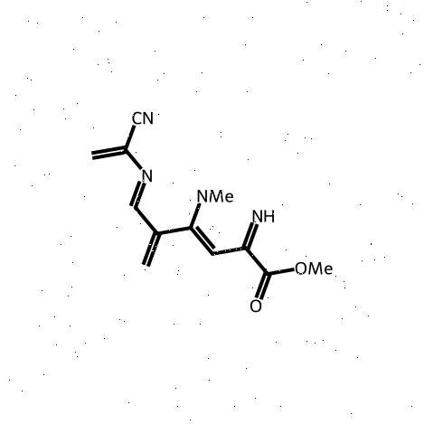 C=C(C#N)/N=C/C(=C)/C(=C/C(=N)C(=O)OC)NC